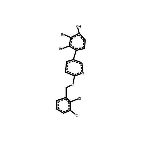 Oc1ccc(-c2ccc(OCc3cccc(Cl)c3Cl)nn2)c(Br)c1Br